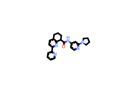 O=C(Nc1ccnc(N2CCCC2)c1)C1CCCc2ccc(-c3ccccn3)nc21